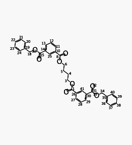 O=C(OCCCCOC(=O)c1cccc(C(=O)OCc2ccccc2)c1)c1cccc(C(=O)OCc2ccccc2)c1